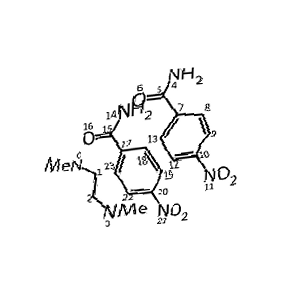 CNCCNC.NC(=O)c1ccc([N+](=O)[O-])cc1.NC(=O)c1ccc([N+](=O)[O-])cc1